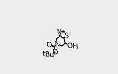 CC(C)(C)OC(=O)N1Cc2ncsc2C(O)C1